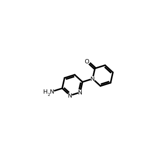 Nc1ccc(-n2ccccc2=O)nn1